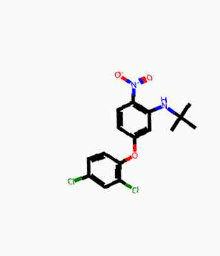 CC(C)(C)Nc1cc(Oc2ccc(Cl)cc2Cl)ccc1[N+](=O)[O-]